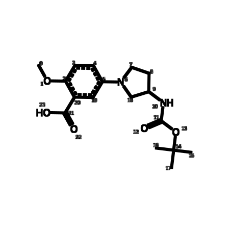 COc1ccc(N2CCC(NC(=O)OC(C)(C)C)C2)cc1C(=O)O